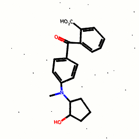 CN(c1ccc(C(=O)c2ccccc2C(=O)O)cc1)C1CCCC1O